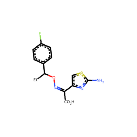 CCC(ON=C(C(=O)O)c1csc(N)n1)c1ccc(F)cc1